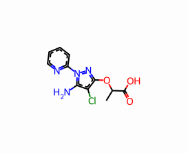 CC(Oc1nn(-c2ccccn2)c(N)c1Cl)C(=O)O